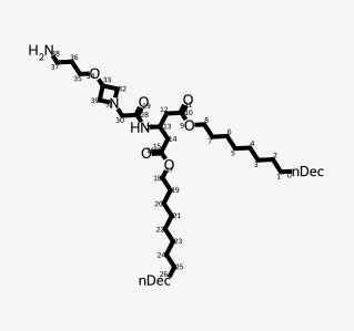 CCCCCCCCCCCCCCCCCCOC(=O)CC(CC(=O)OCCCCCCCCCCCCCCCCCC)NC(=O)CN1CC(OCCCN)C1